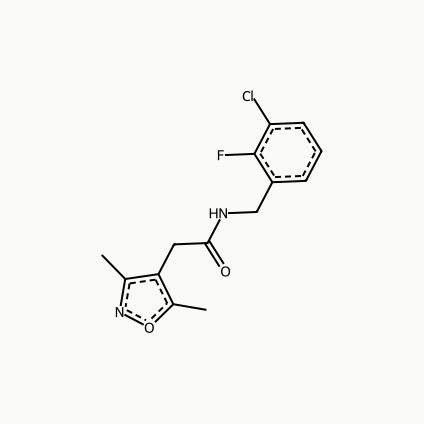 Cc1noc(C)c1CC(=O)NCc1cccc(Cl)c1F